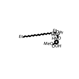 CCC=CCC=CCC=CCC=CCC=CCCCCOC(CC)C(=O)N[C@@H](CC(C)C)C(=O)Nc1ccc(O)c(C(=O)OC)c1